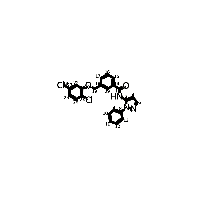 O=C(Nc1ccnn1-c1ccccc1)c1cccc(COc2cc(Cl)ccc2Cl)c1